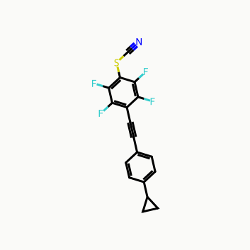 N#CSc1c(F)c(F)c(C#Cc2ccc(C3CC3)cc2)c(F)c1F